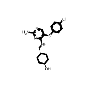 Nc1ncc(Sc2ccc(Cl)cc2)c(NC[C@H]2CC[C@H](O)CC2)n1